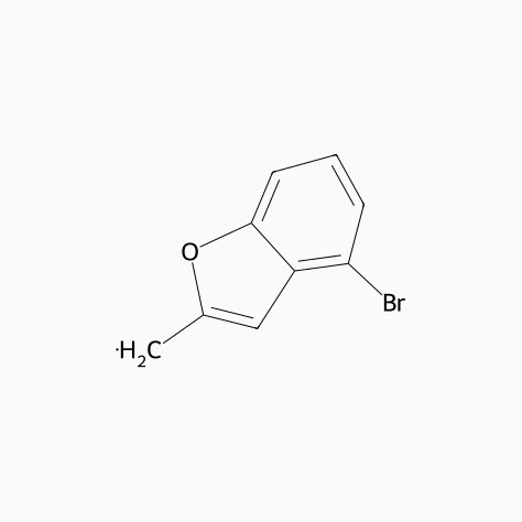 [CH2]c1cc2c(Br)cccc2o1